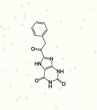 O=C(Cc1ccccc1)c1nc2[nH]c(=O)[nH]c(=O)c2[nH]1